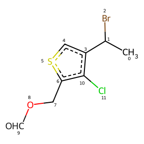 CC(Br)c1csc(COC=O)c1Cl